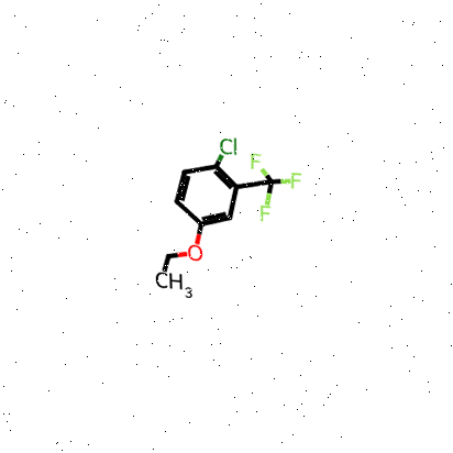 CCOc1ccc(Cl)c(C(F)(F)F)c1